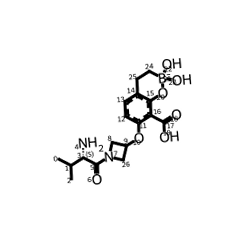 CC(C)[C@H](N)C(=O)N1CC(Oc2ccc3c(c2C(=O)O)O[B-](O)(O)CC3)C1